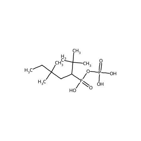 CCC(C)(C)CC(C(C)(C)C)P(=O)(O)OP(=O)(O)O